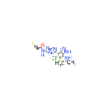 CC(C)Nc1c(F)c(Cl)c(-c2cn3cc(NC(=O)[C@H]4C[C@@H]4F)nc3cn2)c2cn[nH]c12